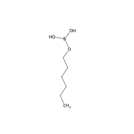 CCCCCCOB(O)O